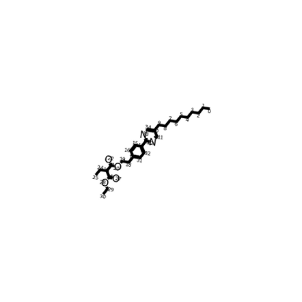 CCCCCCCCCCc1cnc(-c2ccc(CCOC(=O)C(CC)C(=O)OCC)cc2)nc1